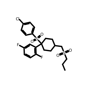 CCCS(=O)(=O)CC1CCC(c2cc(F)ccc2F)(S(=O)(=O)c2ccc(Cl)cc2)CC1